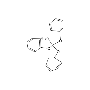 [SnH][C](Oc1ccccc1)(Oc1ccccc1)Oc1ccccc1